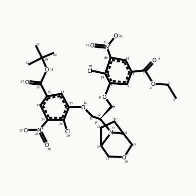 CCOC(=O)c1cc(OC[C@H](COc2cc(C(=O)OC(C)(C)C)cc([N+](=O)[O-])c2Cl)N2C3CCC2COC3)c(Cl)c([N+](=O)[O-])c1